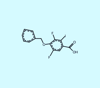 O=C(O)c1cc(F)c(OCc2ccccc2)c(F)c1I